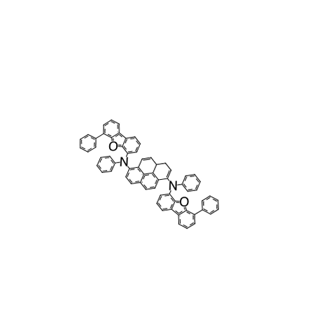 C1=CC2CC=C(N(c3ccccc3)c3cccc4c3oc3c(-c5ccccc5)cccc34)c3ccc4ccc(N(c5ccccc5)c5cccc6c5oc5c(-c7ccccc7)cccc56)c1c4c32